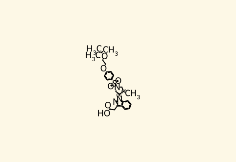 C[C@@H]1CN(S(=O)(=O)c2ccc(OCCOC(C)(C)C)cc2)C[C@@H]1n1nc(CC(=O)O)c2ccccc21